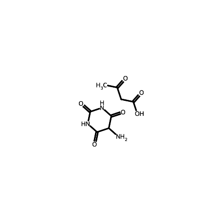 CC(=O)CC(=O)O.NC1C(=O)NC(=O)NC1=O